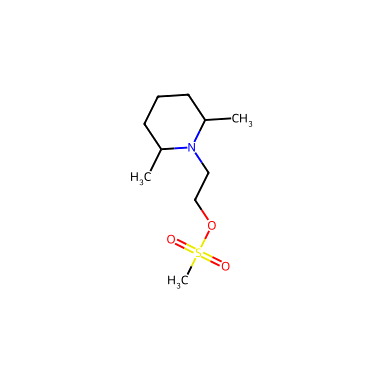 CC1CCCC(C)N1CCOS(C)(=O)=O